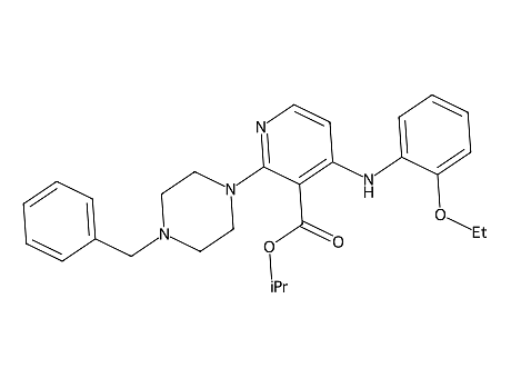 CCOc1ccccc1Nc1ccnc(N2CCN(Cc3ccccc3)CC2)c1C(=O)OC(C)C